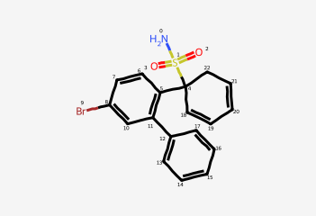 NS(=O)(=O)C1(c2ccc(Br)cc2-c2ccccc2)C=CC=CC1